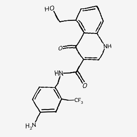 Nc1ccc(NC(=O)c2c[nH]c3cccc(CO)c3c2=O)c(C(F)(F)F)c1